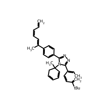 C=C/C=C\C=C(/C)c1ccc(-c2nnc(C(/C=C\C(=C)C(C)(C)C)=C/C)n2C2(C)C=CC=CC2)cc1